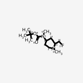 CN1CCC(N(C)C(=O)OC(C)(C)C)CC1CF